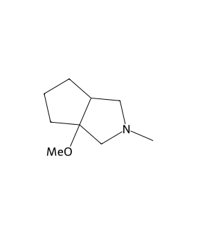 COC12CCCC1CN(C)C2